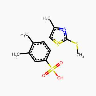 CSc1nc(C)cs1.Cc1ccc(S(=O)(=O)O)cc1C